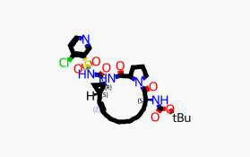 CC(C)(C)OC(=O)N[C@H]1CCCCC/C=C\[C@@H]2C[C@@]2(C(=O)NS(=O)(=O)c2cnccc2Cl)NC(=O)C2CCCN2C1=O